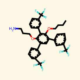 CCCCOc1c(-c2cccc(C(F)(F)F)c2)cc(-c2cccc(C(F)(F)F)c2)c(OCCCN)c1-c1cccc(C(F)(F)F)c1